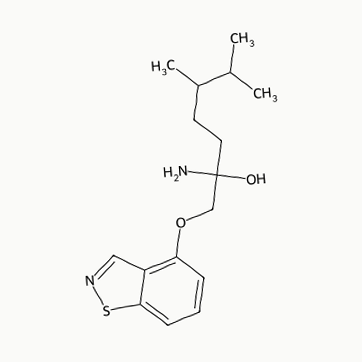 CC(C)C(C)CCC(N)(O)COc1cccc2sncc12